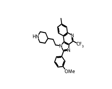 COc1cccc(-c2nc3c(C(F)(F)F)nc4cc(C)ccc4c3n2CCC2CCNCC2)c1